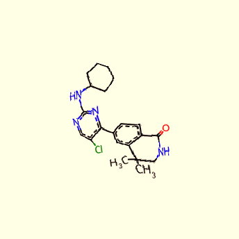 CC1(C)CNC(=O)c2ccc(-c3nc(NC4CCCCC4)ncc3Cl)cc21